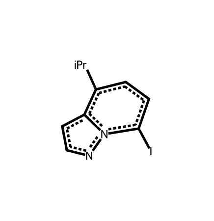 CC(C)c1ccc(I)n2nccc12